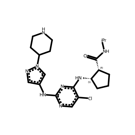 CC(C)NC(=O)[C@@H]1CCC[C@@H]1Nc1nc(Nc2cnn(C3CCNCC3)c2)ncc1Cl